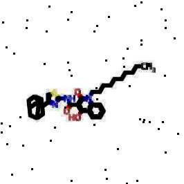 CCCCCCCCCCn1c(=O)c(C(=O)Nc2nc(C34CC5CC(CC(C5)C3)C4)cs2)c(O)c2ccccc21